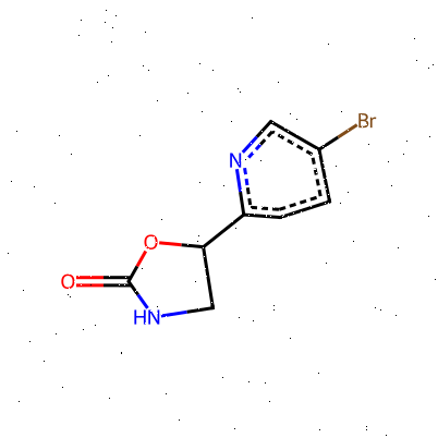 O=C1NCC(c2ccc(Br)cn2)O1